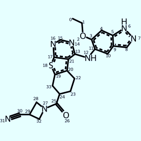 CCOc1cc2[nH]ncc2cc1Nc1ncnc2sc3c(c12)CCC(C(=O)N1CC(C#N)C1)C3